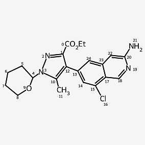 CCOC(=O)c1nn(C2CCCCO2)c(C)c1-c1cc(Cl)c2cnc(N)cc2c1